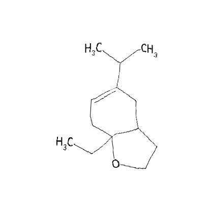 CCC12CC=C(C(C)C)CC1CCO2